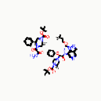 C[C@@H]1CN(C(=O)C(=O)Nc2cncc3cnn(COCC[Si](C)(C)C)c23)[C@@H](c2ccccc2)CN1C(=O)OC(C)(C)C.C[C@@H]1CN(C(=O)C(N)=O)[C@@H](c2ccccc2)CN1C(=O)OC(C)(C)C